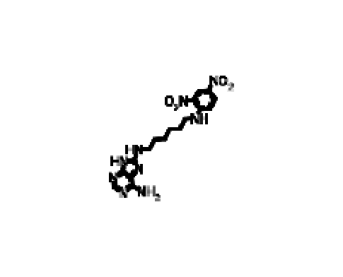 Nc1ncnc2[nH]c(NCCCCCCNc3ccc([N+](=O)[O-])cc3[N+](=O)[O-])nc12